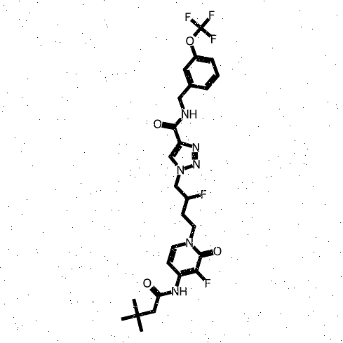 CC(C)(C)CC(=O)Nc1ccn(CCC(F)Cn2cc(C(=O)NCc3cccc(OC(F)(F)F)c3)nn2)c(=O)c1F